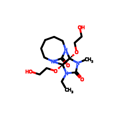 CCN1C(=O)N(C)[C@]2(OCCO)N3CCCCCN(C3=O)[C@]12OCCO